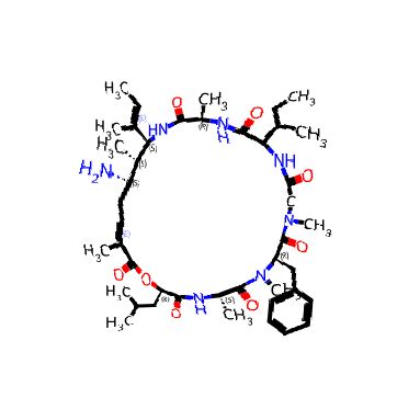 C/C=C(\C)[C@H]1NC(=O)[C@@H](C)NC(=O)C(C(C)CC)NC(=O)CN(C)C(=O)[C@@H](Cc2ccccc2)N(C)C(=O)[C@H](C)NC(=O)[C@@H](CC(C)C)OC(=O)/C(C)=C/C[C@H](N)[C@@H]1C